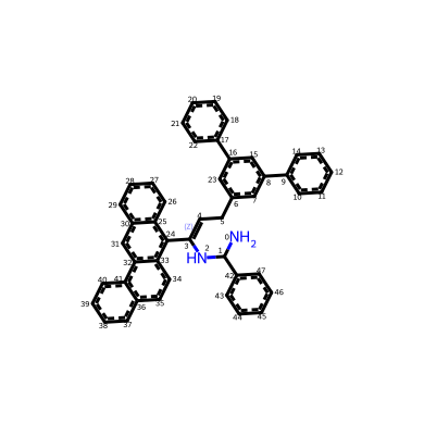 NC(N/C(=C\Cc1cc(-c2ccccc2)cc(-c2ccccc2)c1)c1c2ccccc2cc2c1ccc1ccccc12)c1ccccc1